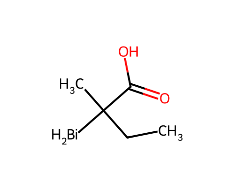 CC[C](C)([BiH2])C(=O)O